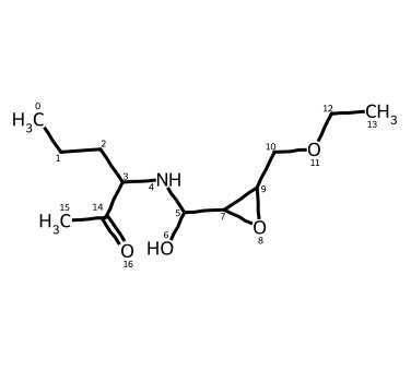 CCCC(NC(O)C1OC1COCC)C(C)=O